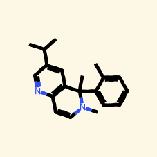 Cc1ccccc1C1(C)c2cc(C(C)C)cnc2C=CN1C